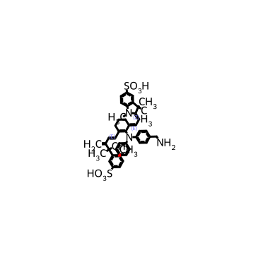 C=C(/C=C/C1=C(N(c2ccccc2)c2ccc(CN)cc2)C(=C/C=C2\N(C)c3ccc(S(=O)(=O)O)cc3C2(C)C)/CCC1)C(C)(C)c1cc(S(=O)(=O)O)ccc1C